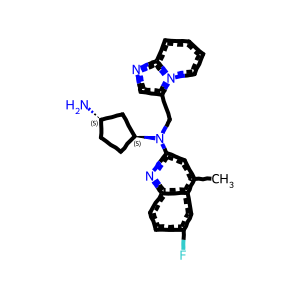 Cc1cc(N(Cc2cnc3ccccn23)[C@H]2CC[C@H](N)C2)nc2ccc(F)cc12